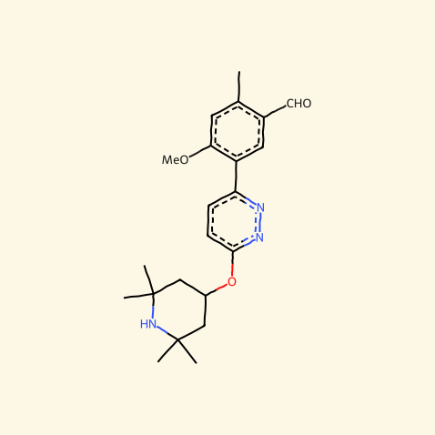 COc1cc(C)c(C=O)cc1-c1ccc(OC2CC(C)(C)NC(C)(C)C2)nn1